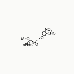 CCCCCN(CC(=O)OC)C(=O)CCCOc1ccc([N+](=O)[O-])c(C=O)c1